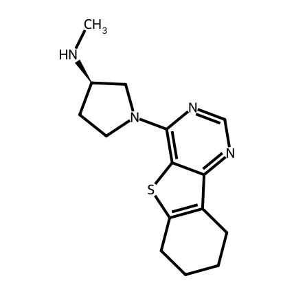 CN[C@@H]1CCN(c2ncnc3c4c(sc23)CCCC4)C1